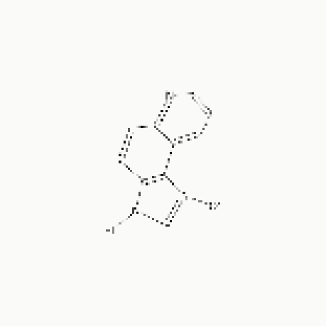 CCn1c[n+]([O-])c2c3cccnc3ccc21